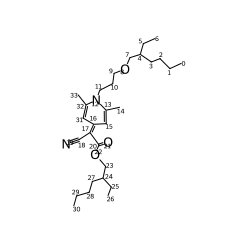 CCCCC(CC)COCCCN1C(C)=CC(=C(C#N)C(=O)OCC(CC)CCCC)C=C1C